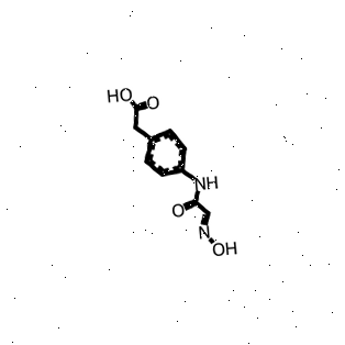 O=C(O)Cc1ccc(NC(=O)/C=N/O)cc1